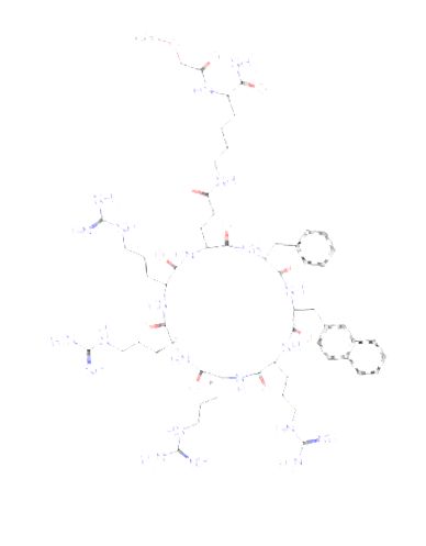 CCCOCC(=O)NC(CCCCNC(=O)CCC1NC(=O)C(CCCNC(=N)N)NC(=O)[C@H](CCCNC(=N)N)NC(=O)[C@@H](CCCNC(=N)N)NC(=O)C(CCCNC(=N)N)NC(=O)C(Cc2ccc3ccccc3c2)NC(=O)C(Cc2ccccc2)NC1=O)C(N)=O